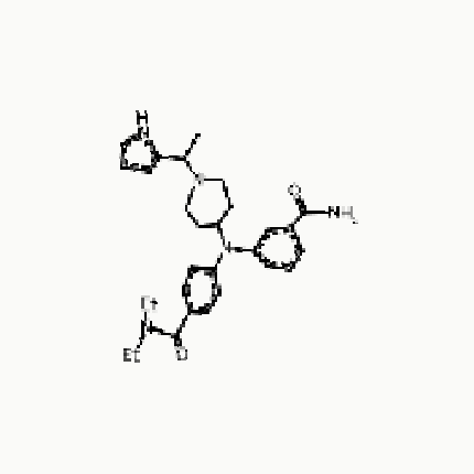 CCN(CC)C(=O)c1ccc(N(c2cccc(C(N)=O)c2)C2CCN(C(C)c3ccc[nH]3)CC2)cc1